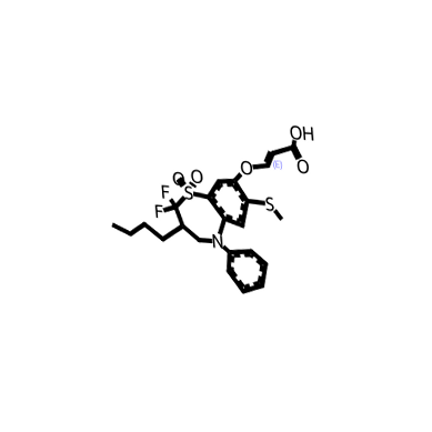 CCCCC1CN(c2ccccc2)c2cc(SC)c(O/C=C/C(=O)O)cc2S(=O)(=O)C1(F)F